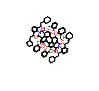 Cc1ccccc1Oc1cc2c3c(cc(Oc4ccccc4C)c4c5c(Oc6ccccc6C)cc6c7c(cc(Oc8ccccc8C)c(c1c34)c75)C(=O)N(c1c(CCC3CCCCC3)cccc1CCC1CCCCC1)C6=O)C(=O)N(c1c(CCC3CCCCC3)cccc1CCC1CCCCC1)C2=O